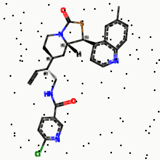 C=C[C@@H](CNC(=O)c1ccc(Cl)nc1)[C@H]1CCN2C(=O)S[C@@H](c3ccnc4ccc(C)cc34)[C@@H]2C1